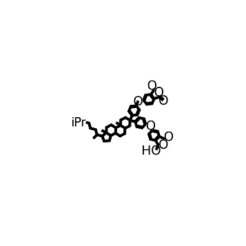 CC(C)CCCC(C)C1CCC2C3CCC4CC(c5ccc(Oc6ccc7c(c6)C(=O)OC7=O)cc5)(c5ccc(Oc6ccc7c(c6)C(=O)OC7O)cc5)CCC4(C)C3CCC12C